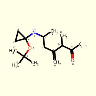 C=C(CC(C)NC1(OC(C)(C)C)CC1)C(C)C(C)=O